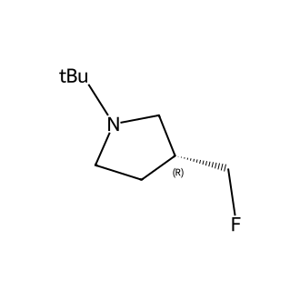 CC(C)(C)N1CC[C@@H](CF)C1